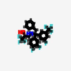 O[C@H](CN[C@@](Cc1ccccc1)(c1cc(F)cc(C(F)(F)F)c1)c1ccc(F)c(F)c1)C(F)(F)F